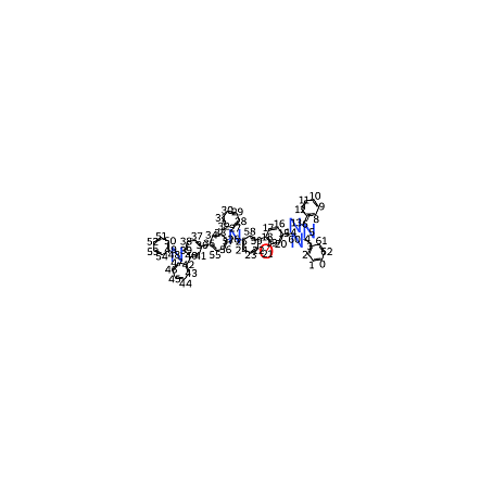 c1ccc(-c2nc(-c3ccccc3)nc(-c3ccc4c(c3)oc3ccc(-n5c6ccccc6c6cc(-c7ccc8c(c7)c7ccccc7n8-c7ccccc7)ccc65)cc34)n2)cc1